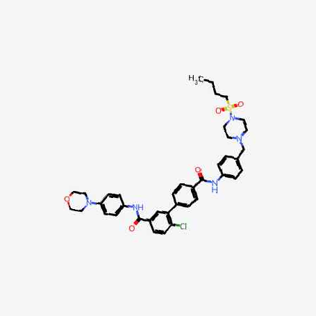 CCCCS(=O)(=O)N1CCN(Cc2ccc(NC(=O)c3ccc(-c4cc(C(=O)Nc5ccc(N6CCOCC6)cc5)ccc4Cl)cc3)cc2)CC1